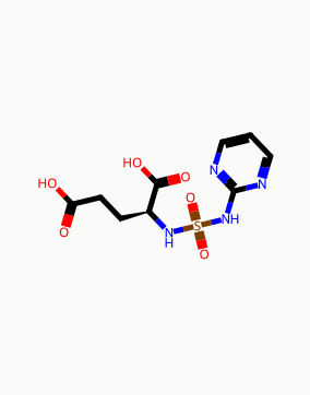 O=C(O)CC[C@H](NS(=O)(=O)Nc1ncccn1)C(=O)O